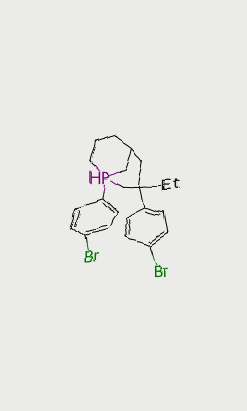 CCC1(c2ccc(Br)cc2)CC2CCC[PH](c3ccc(Br)cc3)(C2)C1